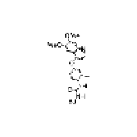 CCC(C)NC(=O)Nc1ccc(Oc2ccnc3cc(OC)c(OC)cc23)cc1F